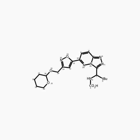 CC(C)(C)C(NC(=O)O)c1nnc2ccc(-c3cc(COC4CCCCO4)no3)nn12